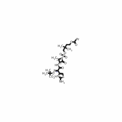 CC(C)C(=O)OCCC(C)(C)COS(=O)(=O)N1C(=O)[C@@H](NC(=O)/C(=N/OC(C)(C)C(=O)O)c2csc(N)n2)[C@@H]1C